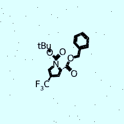 CC(C)(C)OC(=O)N1C[C@H](C(F)(F)F)C[C@H]1C(=O)OCc1ccccc1